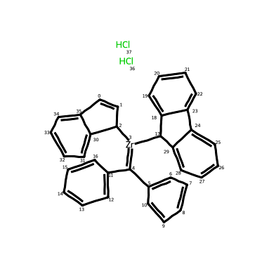 C1=C[CH]([Zr](=[C](c2ccccc2)c2ccccc2)[CH]2c3ccccc3-c3ccccc32)c2ccccc21.Cl.Cl